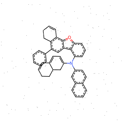 C1=Cc2c(c(-c3ccccc3)cc3c2oc2cccc(N(C4=CC=C5C=CCCC5C4)c4ccc5ccccc5c4)c23)CC1